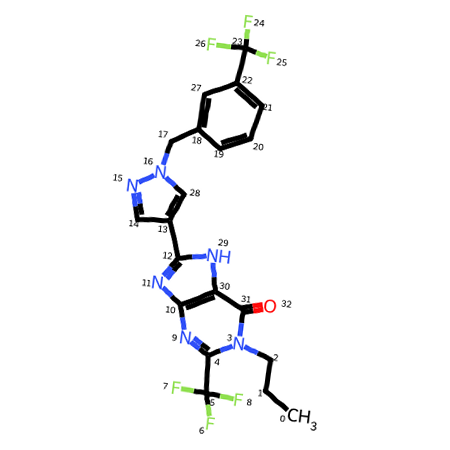 CCCn1c(C(F)(F)F)nc2nc(-c3cnn(Cc4cccc(C(F)(F)F)c4)c3)[nH]c2c1=O